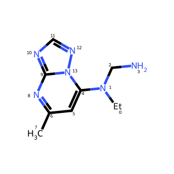 CCN(CN)c1cc(C)nc2ncnn12